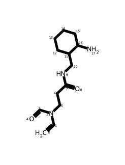 C=CN(C=O)CCC(=O)NCC1CCCCC1N